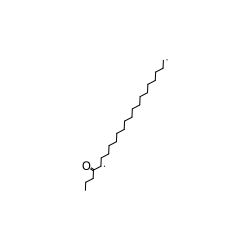 [CH2]CCCCCCCCCCCCCCCC[CH]C(=O)CCC